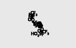 O=C(OCC1CSC2(S1)C1CC3CC2CC(OC(=O)C(F)(C(F)(F)F)S(=O)(=O)O)(C3)C1)C(F)(F)C(F)(F)C(F)(F)F